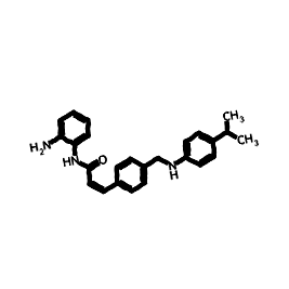 CC(C)c1ccc(NCc2ccc(/C=C\C(=O)Nc3ccccc3N)cc2)cc1